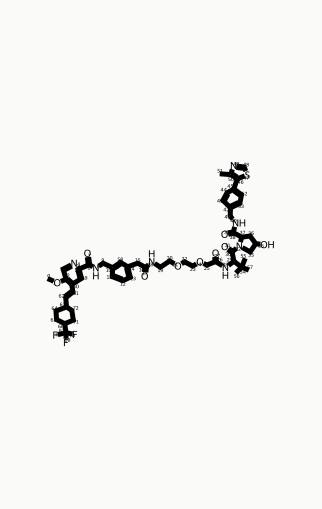 COc1cnc(C(=O)NCc2cccc(CC(=O)NCCOCCOCC(=O)NC(C(=O)N3CC(O)CC3C(=O)NCc3ccc(-c4scnc4C)cc3)C(C)(C)C)c2)cc1C=CC1CCC(C(F)(F)F)CC1